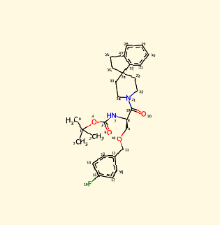 CC(C)(C)OC(=O)N[C@H](COCc1ccc(F)cc1)C(=O)N1CCC2(CCc3ccccc32)CC1